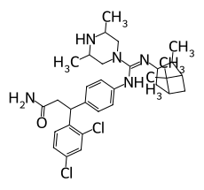 CC1CN(/C(=N/C2CC3CC(C2C)C3(C)C)Nc2ccc(C(CC(N)=O)c3ccc(Cl)cc3Cl)cc2)CC(C)N1